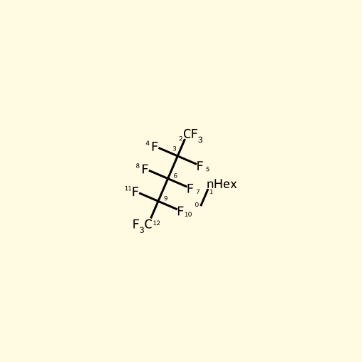 CCCCCCC.FC(F)(F)C(F)(F)C(F)(F)C(F)(F)C(F)(F)F